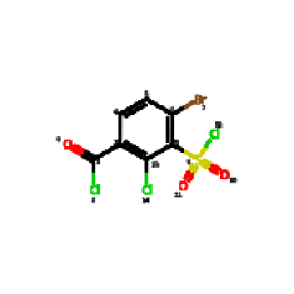 O=C(Cl)c1ccc(Br)c(S(=O)(=O)Cl)c1Cl